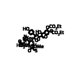 CCOC(=O)Oc1cc2occ(C(=O)NC(C(=O)NC3S[C@@H]4N(C(=O)[C@]4(C=S)OC)C(C(=O)O)=C3c3nnnn3CC(=O)OC)c3ccc(O)cc3)c(=O)c2cc1OC(=O)OCC